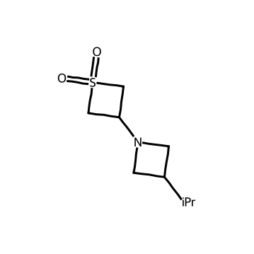 CC(C)C1CN(C2CS(=O)(=O)C2)C1